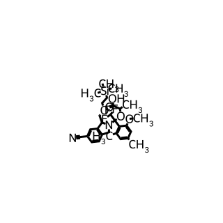 COc1cc(C)cc(C)c1C(OC(C)C(=O)O)(N1Cc2ccc(C#N)cc2C1COCC[Si](C)(C)C)C(F)(F)F